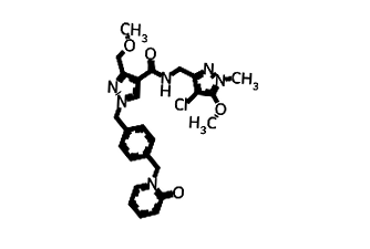 COCc1nn(Cc2ccc(Cn3ccccc3=O)cc2)cc1C(=O)NCc1nn(C)c(OC)c1Cl